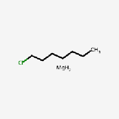 CCCCCCCCl.[MgH2]